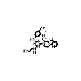 CC(C)CCNc1nc(Nc2ccc(C(F)(F)F)cc2)nc(N2CCN(c3ncccc3Cl)C[C@H]2C)n1